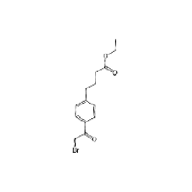 CCOC(=O)CCCc1ccc(C(=O)CBr)cc1